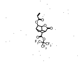 C=CC(=O)OC1C2CC3C1OC(=O)C3C2C(=O)OC(C(F)(F)F)(C(F)(F)F)C(F)(F)F